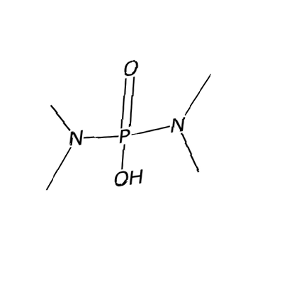 CN(C)P(=O)(O)N(C)C